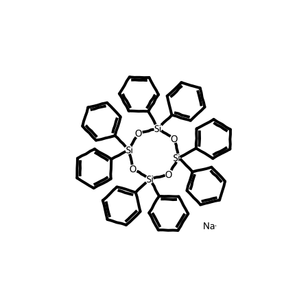 [Na].c1ccc([Si]2(c3ccccc3)O[Si](c3ccccc3)(c3ccccc3)O[Si](c3ccccc3)(c3ccccc3)O[Si](c3ccccc3)(c3ccccc3)O2)cc1